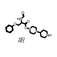 Cl.Cl.O=CNC(COc1ccccc1)C(=O)ON1CCN(C2CCNCC2)CC1